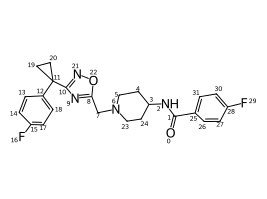 O=C(NC1CCN(Cc2nc(C3(c4ccc(F)cc4)CC3)no2)CC1)c1ccc(F)cc1